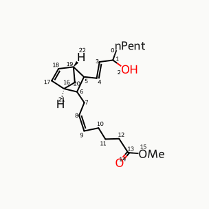 CCCCCC(O)C=CC1C(C/C=C\CCCC(=O)OC)[C@H]2C=C[C@H]1C2